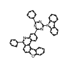 c1ccc(-c2nc(-c3ccc4c(c3)nc(-c3ccccc3)c3ccc5oc6ccccc6c5c34)nc(-n3c4ccccc4c4ccccc43)n2)cc1